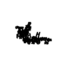 CC(C)c1cnn2c(Nc3cccc(NC(=O)c4ccc(NC(=O)C=CCN(C)C)cc4)c3)nc(OC3CCN(C)CC3)nc12